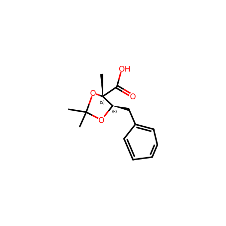 CC1(C)O[C@H](Cc2ccccc2)[C@@](C)(C(=O)O)O1